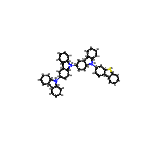 c1ccc2c(c1)sc1cc(-n3c4ccccc4c4cc(-n5c6ccccc6c6cc(-n7c8ccccc8c8ccccc87)ccc65)ccc43)ccc12